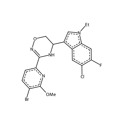 CCn1cc(C2CON=C(c3ccc(Br)c(OC)n3)N2)c2cc(Cl)c(F)cc21